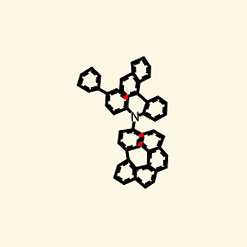 c1ccc(-c2ccc(N(c3ccc(-c4cccc5ccc6ccc7ccccc7c6c45)cc3)c3ccccc3-c3cccc4ccccc34)cc2)cc1